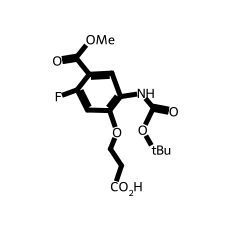 COC(=O)c1cc(NC(=O)OC(C)(C)C)c(OCCC(=O)O)cc1F